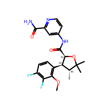 COc1c([C@H]2[C@@H](C(=O)Nc3ccnc(C(N)=O)c3)OC(C)(C)[C@@H]2C)ccc(F)c1F